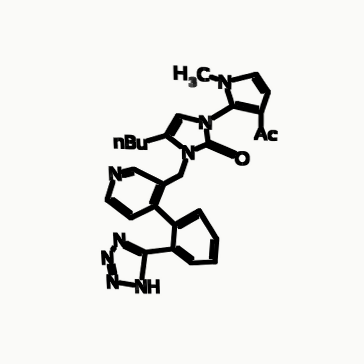 CCCCc1cn(-c2c(C(C)=O)ccn2C)c(=O)n1Cc1cnccc1-c1ccccc1-c1nnn[nH]1